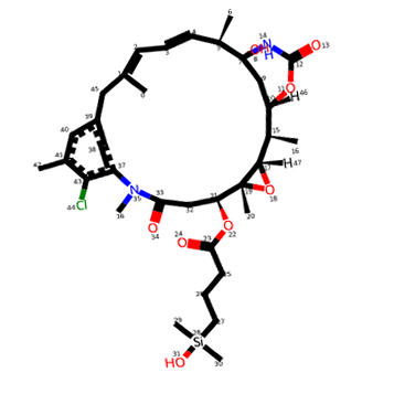 C/C1=C\C=C\[C@@H](C)[C@@]2(O)C[C@H](OC(=O)N2)[C@@H](C)[C@@H]2O[C@]2(C)[C@@H](OC(=O)CCC[Si](C)(C)O)CC(=O)N(C)c2cc(cc(C)c2Cl)C1